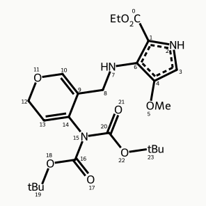 CCOC(=O)c1[nH]cc(OC)c1NCC1=COCC=C1N(C(=O)OC(C)(C)C)C(=O)OC(C)(C)C